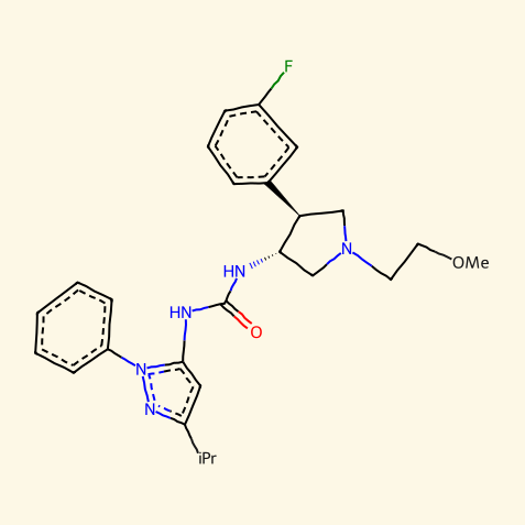 COCCN1C[C@H](NC(=O)Nc2cc(C(C)C)nn2-c2ccccc2)[C@@H](c2cccc(F)c2)C1